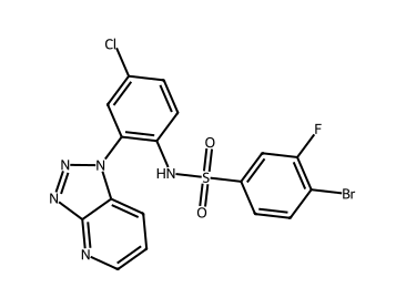 O=S(=O)(Nc1ccc(Cl)cc1-n1nnc2ncccc21)c1ccc(Br)c(F)c1